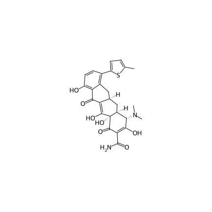 Cc1ccc(-c2ccc(O)c3c2C[C@H]2C[C@H]4[C@H](N(C)C)C(O)=C(C(N)=O)C(=O)[C@@]4(O)C(O)=C2C3=O)s1